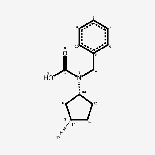 O=C(O)N(Cc1ccccc1)[C@@H]1CC[C@H](F)C1